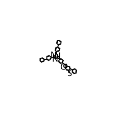 c1ccc(-c2ccc(-c3nc(-c4ccc(-c5ccccc5)cc4)nc(-c4ccc(C5Cc6cc7c(cc6O5)sc5ccccc57)cc4)n3)cc2)cc1